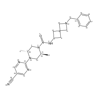 C[C@@H]1CN(C(=O)NC2CC3(C2)CN(Cc2ccccc2)C3)[C@@H](C)CN1c1ncc(C#N)cn1